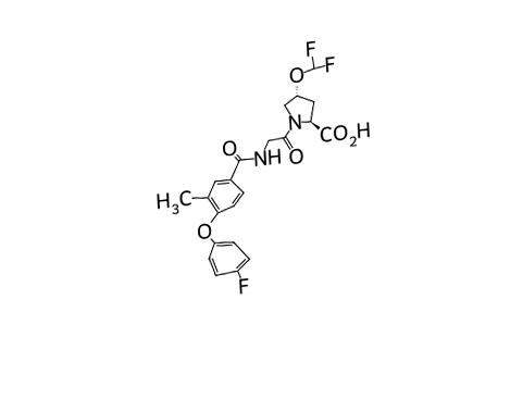 Cc1cc(C(=O)NCC(=O)N2C[C@H](OC(F)F)C[C@H]2C(=O)O)ccc1Oc1ccc(F)cc1